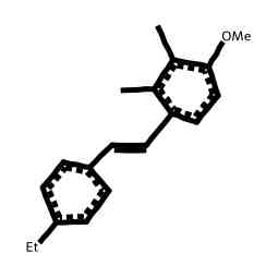 CCc1ccc(C=Cc2ccc(OC)c(C)c2C)cc1